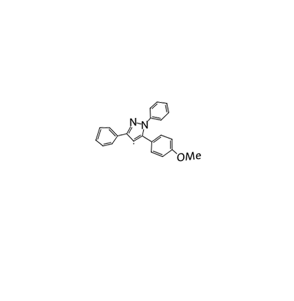 COc1ccc(-c2[c]c(-c3ccccc3)nn2-c2ccccc2)cc1